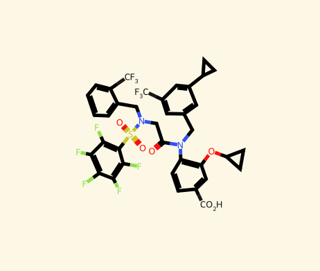 O=C(O)c1ccc(N(Cc2cc(C3CC3)cc(C(F)(F)F)c2)C(=O)CN(Cc2ccccc2C(F)(F)F)S(=O)(=O)c2c(F)c(F)c(F)c(F)c2F)c(OC2CC2)c1